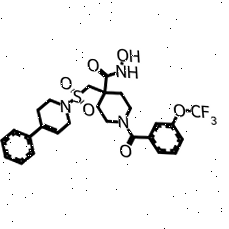 O=C(c1cccc(OC(F)(F)F)c1)N1CCC(CS(=O)(=O)N2CC=C(c3ccccc3)CC2)(C(=O)NO)CC1